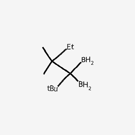 BC(B)(C(C)(C)C)C(C)(C)CC